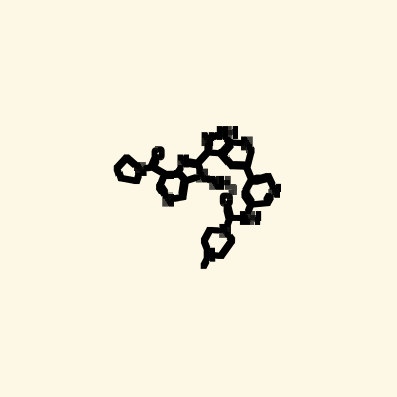 CN1CCN(C(=O)Nc2cncc(-c3cnc4[nH]nc(-c5nc6c(C(=O)N7CCCC7)cncc6n5N)c4c3)c2)CC1